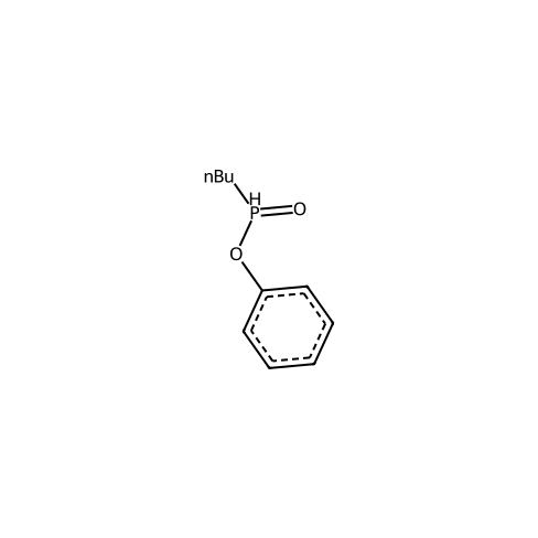 CCCC[PH](=O)Oc1ccccc1